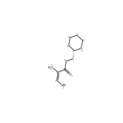 [CH2]/C(=C/CCC)C(=O)OC[C@@H]1CCCCO1